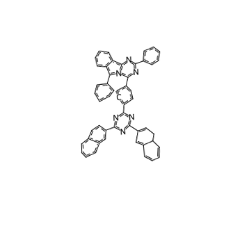 C1=CC2=CC(c3nc(-c4ccc(-c5nc(-c6ccccc6)nc6c7ccccc7c(-c7ccccc7)n56)cc4)nc(-c4ccc5ccccc5c4)n3)=CCC2C=C1